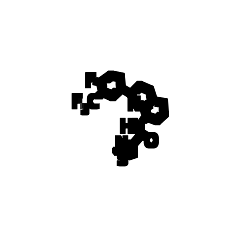 O=C(Nc1cccc2ccc(-c3ccc(F)c(C(F)(F)F)c3)nc12)c1cscn1